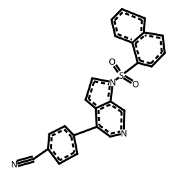 N#Cc1ccc(-c2cncc3c2ccn3S(=O)(=O)c2cccc3ccccc23)cc1